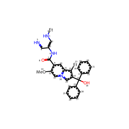 CCN/C=C(\C=N)NC(=O)c1cc2c(CC)c(C(O)(c3ccccc3)c3ccccc3)cn2cc1OC